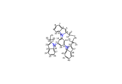 CC(C)(C)c1cc2ccccc2n1-c1cc(-n2c(C(C)(C)C)cc3ccccc32)cc(-n2c(C(C)(C)C)cc3ccccc32)c1